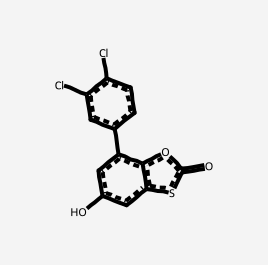 O=c1oc2c(-c3ccc(Cl)c(Cl)c3)cc(O)cc2s1